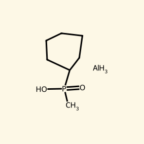 CP(=O)(O)C1CCCCC1.[AlH3]